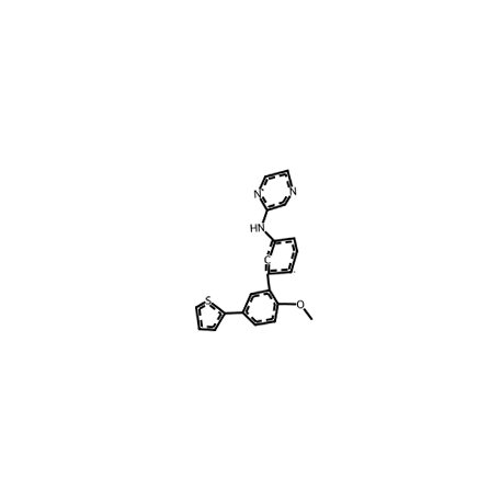 COc1ccc(-c2cccs2)cc1-c1[c]ccc(Nc2cnccn2)c1